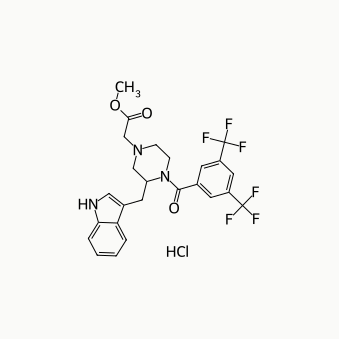 COC(=O)CN1CCN(C(=O)c2cc(C(F)(F)F)cc(C(F)(F)F)c2)C(Cc2c[nH]c3ccccc23)C1.Cl